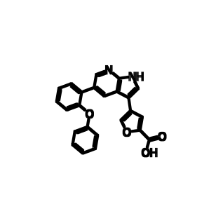 O=C(O)c1cc(-c2c[nH]c3ncc(-c4ccccc4Oc4ccccc4)cc23)co1